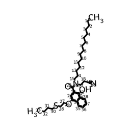 CCCCCCCCCCCCCCCCN(CCC#N)C(=O)c1cc(OCCSCCCC)c2ccccc2c1O